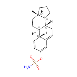 C[C@@]12CCC[C@H]1[C@@H]1CC=C3C=C(OS(N)(=O)=O)C=C[C@@H]3[C@H]1CC2